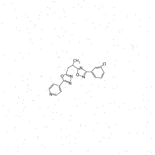 CC(Cc1nnc(-c2ccncc2)o1)c1nc(-c2cccc(Cl)c2)no1